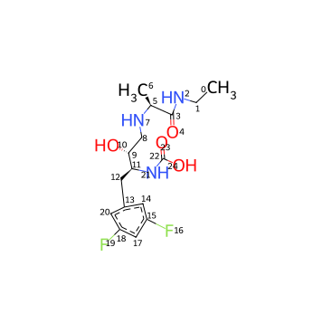 CCNC(=O)[C@H](C)NC[C@@H](O)[C@H](Cc1cc(F)cc(F)c1)NC(=O)O